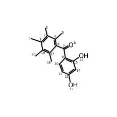 Cc1c(C)c(C)c(C(=O)c2ccc(O)cc2O)c(C)c1C